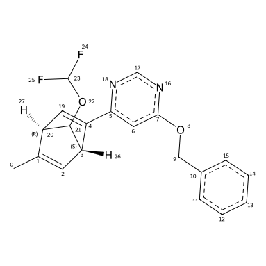 CC1=C[C@H]2C(c3cc(OCc4ccccc4)ncn3)=C[C@H]1C2OC(F)F